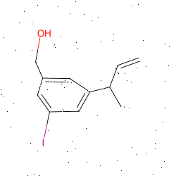 [CH2]C(C=C)c1cc(I)cc(CO)c1